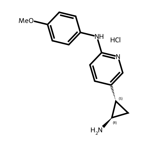 COc1ccc(Nc2ccc([C@@H]3C[C@H]3N)cn2)cc1.Cl